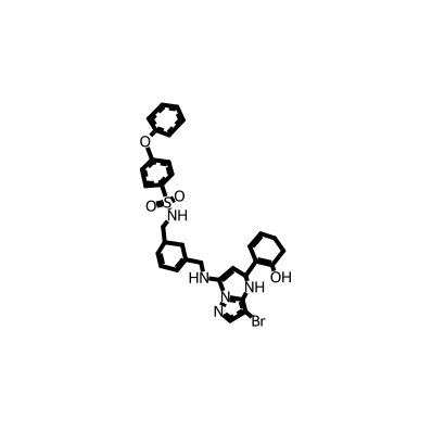 O=S(=O)(NCC1C=CC=C(CNC2=CC(C3=C(O)CCC=C3)Nc3c(Br)cnn32)C1)c1ccc(Oc2ccccc2)cc1